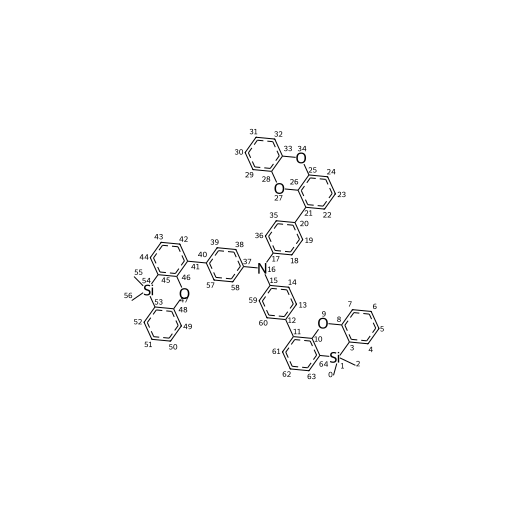 C[Si]1(C)c2ccccc2Oc2c(-c3ccc(N(c4ccc(-c5cccc6c5Oc5ccccc5O6)cc4)c4ccc(-c5cccc6c5Oc5ccccc5[Si]6(C)C)cc4)cc3)cccc21